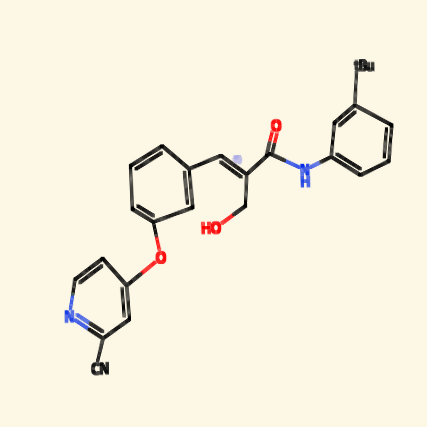 CC(C)(C)c1cccc(NC(=O)/C(=C/c2cccc(Oc3ccnc(C#N)c3)c2)CO)c1